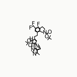 Cc1ncnc2c1ccn2[C@@H]1C=C(CCc2cc(C(F)F)c(F)c3c2CN(C(=O)OC(C)(C)C)CC3)[C@H]2OC(C)(C)O[C@H]21